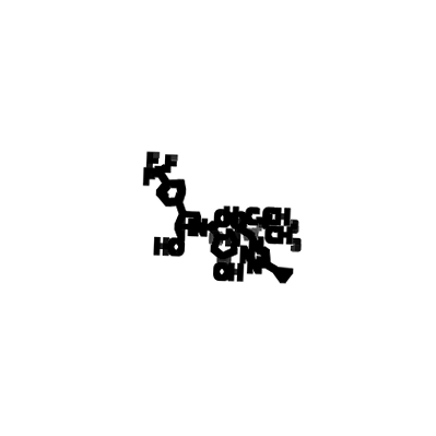 CC(C)(C)[C@@H](C(=O)N1C[C@H](O)C[C@H]1C(=O)NCC(CCO)c1ccc(C(F)(F)F)cc1)n1cc(C2CC2)nn1